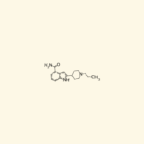 CCCN1CCC(c2cc3c(C(N)=O)cccc3[nH]2)CC1